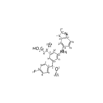 CCO[C@H](c1ccc(F)cc1)c1cc(Nc2ccc3nc(C)sc3c2)cc([C@@H](CC)CC(=O)O)c1